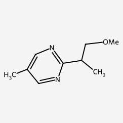 COCC(C)c1ncc(C)cn1